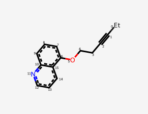 CCC#CCCOc1cccc2ncccc12